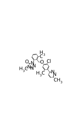 Cc1ccc(-c2cc(Cl)c(OCc3c(C)cccc3-n3nnn(C)c3=O)cc2C)nn1